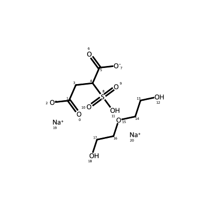 O=C([O-])CC(C(=O)[O-])S(=O)(=O)O.OCCOCCO.[Na+].[Na+]